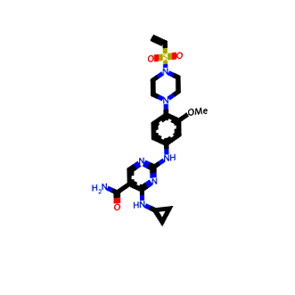 C=CS(=O)(=O)N1CCN(c2ccc(Nc3ncc(C(N)=O)c(NC4CC4)n3)cc2OC)CC1